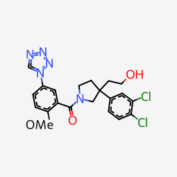 COc1ccc(-n2cnnn2)cc1C(=O)N1CCC(CCO)(c2ccc(Cl)c(Cl)c2)C1